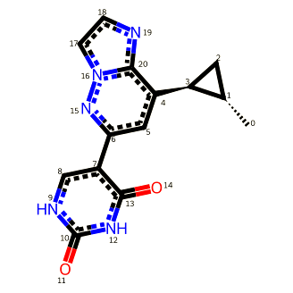 C[C@H]1C[C@@H]1c1cc(-c2c[nH]c(=O)[nH]c2=O)nn2ccnc12